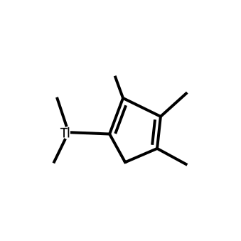 CC1=C(C)C(C)=[C]([Tl]([CH3])[CH3])C1